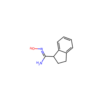 NC(=NO)C1CCc2ccccc21